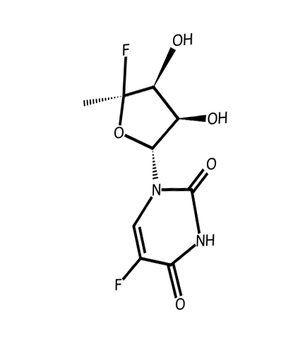 C[C@@]1(F)O[C@@H](n2cc(F)c(=O)[nH]c2=O)[C@H](O)[C@@H]1O